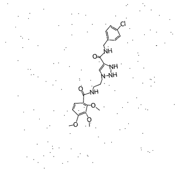 COc1ccc(C(=O)NCCN2C=C(C(=O)NCc3ccc(Cl)cc3)NN2)c(OC)c1OC